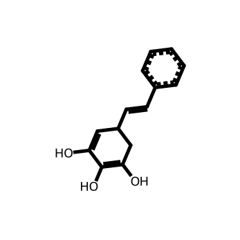 OC1=CC(C=Cc2ccccc2)CC(O)=C1O